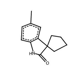 Cc1ccc2c(c1)C1(CCCC1)C(=O)N2